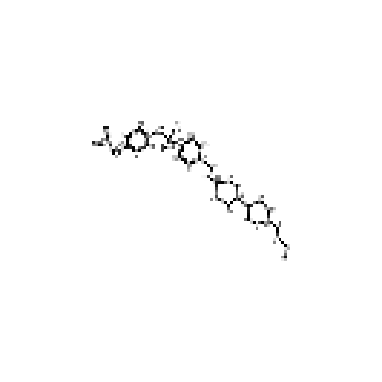 CCCCC1CCC(C2CCC(CCc3ccc(C(F)(F)Oc4ccc(OC(F)F)cc4)cc3)CC2)CC1